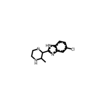 CC1NCC[N]C1c1nc2cc(Cl)ccc2[nH]1